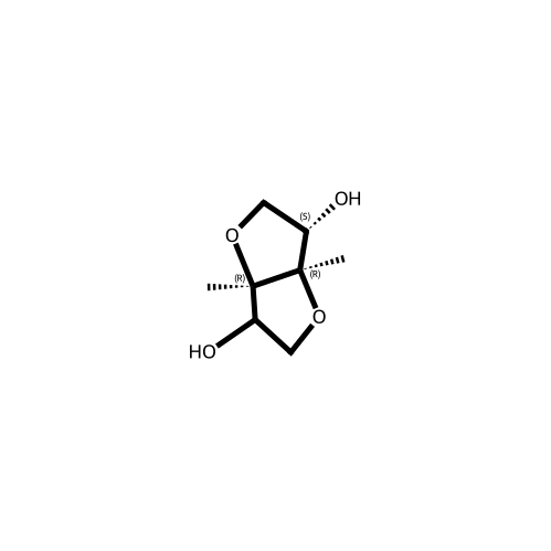 C[C@]12OC[C@H](O)[C@@]1(C)OCC2O